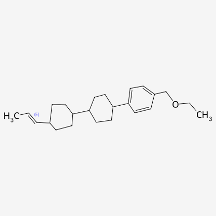 C/C=C/C1CCC(C2CCC(c3ccc(COCC)cc3)CC2)CC1